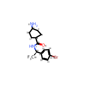 NC1CCC(C(=O)N[C@@H](c2ccc(Br)cc2)C(F)(F)F)CC1